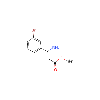 CCCOC(=O)CC(N)c1cccc(Br)c1